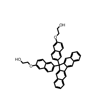 OCCOc1ccc2cc(C3(c4ccc5cc(OCCO)ccc5c4)c4cc5ccccc5cc4-c4cc5ccccc5cc43)ccc2c1